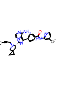 CC#CCN1CC2(CC2)C[C@H]1c1nc(-c2ccc(C(=O)Nc3cc(C(F)(F)F)ccn3)cc2)c2c(N)nccn12